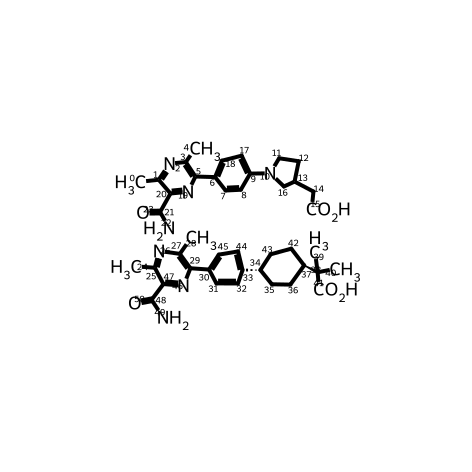 Cc1nc(C)c(-c2ccc(N3CCC(CC(=O)O)C3)cc2)nc1C(N)=O.Cc1nc(C)c(-c2ccc([C@H]3CC[C@H](C(C)(C)C(=O)O)CC3)cc2)nc1C(N)=O